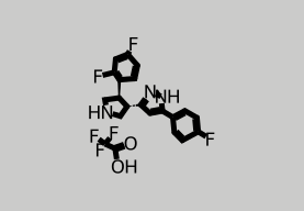 Fc1ccc(-c2cc([C@@H]3CNC[C@H]3c3ccc(F)cc3F)n[nH]2)cc1.O=C(O)C(F)(F)F